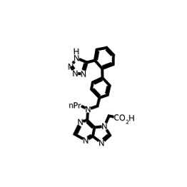 CCCN(Cc1ccc(-c2ccccc2-c2nnn[nH]2)cc1)c1ncnc2ncn(CC(=O)O)c12